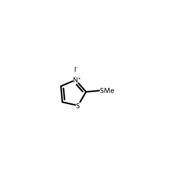 CSC1=[N+]C=CS1.[I-]